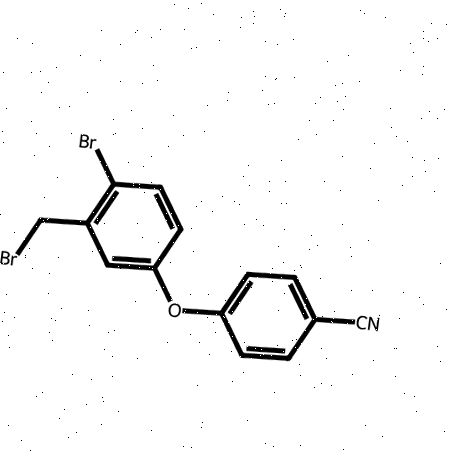 N#Cc1ccc(Oc2ccc(Br)c(CBr)c2)cc1